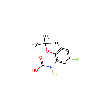 CC(C)(C)Oc1ccc(F)cc1N(S)C(=O)O